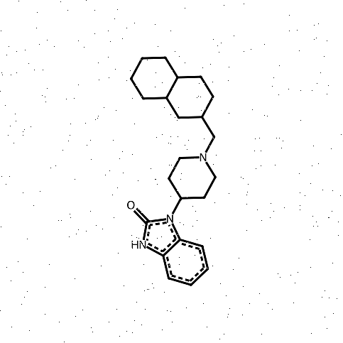 O=c1[nH]c2ccccc2n1C1CCN(CC2CCC3CCCCC3C2)CC1